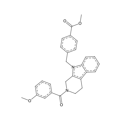 COC(=O)c1ccc(Cn2c3c(c4ccccc42)CCN(C(=O)c2cccc(OC)c2)C3)cc1